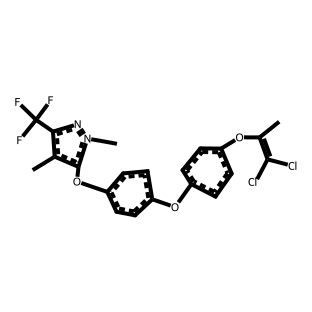 CC(Oc1ccc(Oc2ccc(Oc3c(C)c(C(F)(F)F)nn3C)cc2)cc1)=C(Cl)Cl